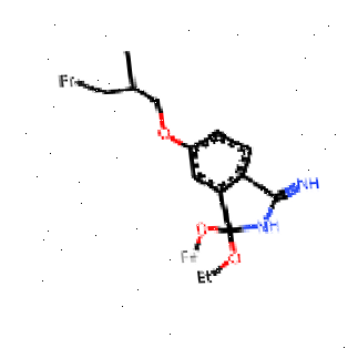 CCOC1(OCC)NC(=N)c2ccc(OCC(C)CC(C)C)cc21